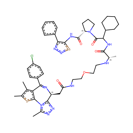 Cc1sc2c(c1C)C(c1ccc(Cl)cc1)=N[C@@H](CC(=O)NCCOCCN[C@@H](C)C(=O)NC(C(=O)N1CCC[C@H]1C(=O)Nc1snnc1-c1ccccc1)C1CCCCC1)c1nnc(C)n1-2